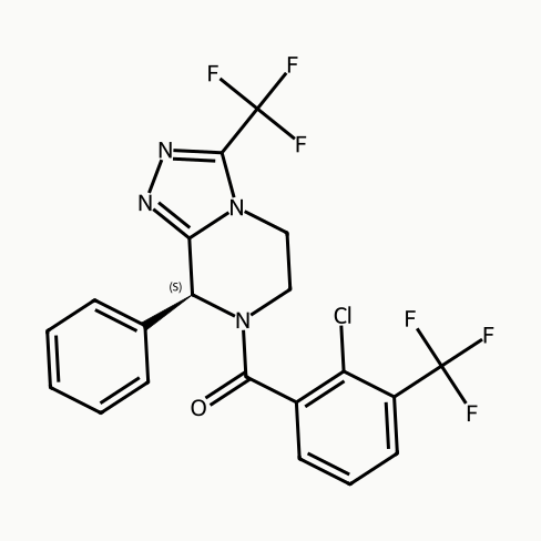 O=C(c1cccc(C(F)(F)F)c1Cl)N1CCn2c(nnc2C(F)(F)F)[C@@H]1c1ccccc1